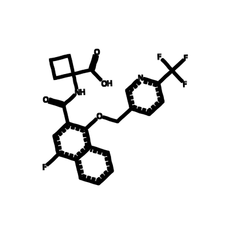 O=C(NC1(C(=O)O)CCC1)c1cc(F)c2ccccc2c1OCc1ccc(C(F)(F)F)nc1